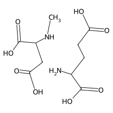 CNC(CC(=O)O)C(=O)O.NC(CCC(=O)O)C(=O)O